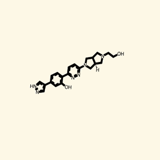 OCCN1CC2CN(c3ccc(-c4ccc(-c5cn[nH]c5)cc4O)nn3)C[C@@H]2C1